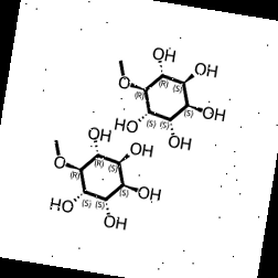 CO[C@H]1[C@H](O)[C@@H](O)[C@@H](O)[C@H](O)[C@@H]1O.CO[C@H]1[C@H](O)[C@@H](O)[C@@H](O)[C@H](O)[C@@H]1O